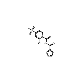 CS(=O)(=O)c1ccc(C(=O)NC(=O)n2ccnn2)c(Cl)c1